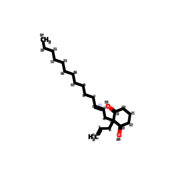 C=CCC1(C/C=C/CCCCCCCCCCC)C(=O)CCCC1=O